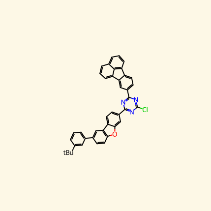 CC(C)(C)c1cccc(-c2ccc3oc4cc(-c5nc(Cl)nc(-c6ccc7c(c6)-c6cccc8cccc-7c68)n5)ccc4c3c2)c1